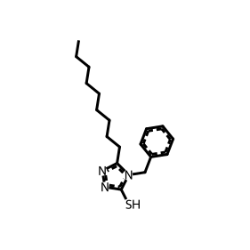 CCCCCCCCCc1nnc(S)n1Cc1ccccc1